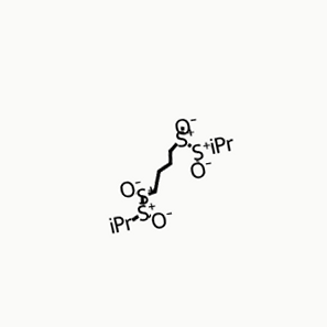 CC(C)[S+]([O-])[S+]([O-])CCCC[S+]([O-])[S+]([O-])C(C)C